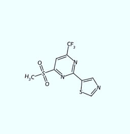 CS(=O)(=O)c1cc(C(F)(F)F)nc(-c2cncs2)n1